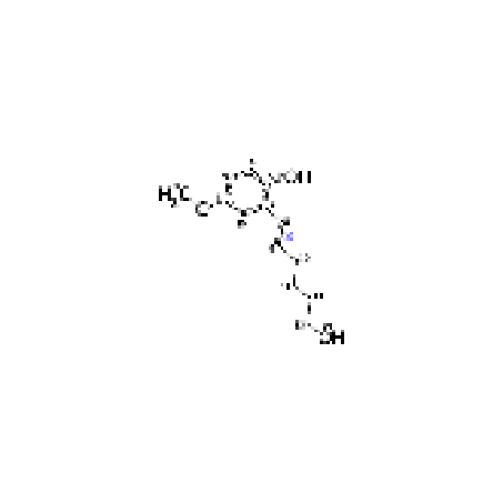 COc1ccc(O)c(/C=C/CCCCO)c1